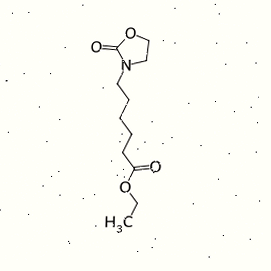 CCOC(=O)CCCCCN1CCOC1=O